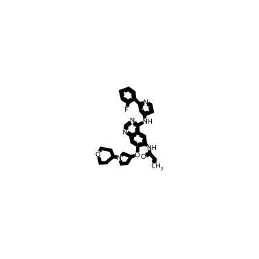 C=CC(=O)Nc1cc2c(Nc3ccnc(-c4ccccc4F)c3)ncnc2cc1OC1CCN(C2CCOCC2)C1